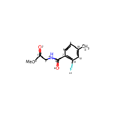 COC(=O)CNC(=O)c1ccc(C)cc1F